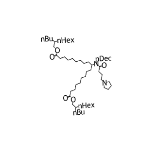 CCCCCCCCCCN(C(=O)CCCN1CCCC1)C(CCCCCCCCC(=O)OCC(CCCC)CCCCCC)CCCCCCCCC(=O)OCC(CCCC)CCCCCC